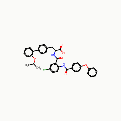 CC(C)Oc1ccccc1-c1ccc(C[C@H](NC(=O)c2cc(Cl)ccc2NC(=O)c2ccc(Oc3ccccc3)cc2)C(=O)O)cc1